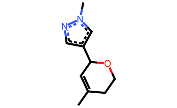 CC1=CC(c2cnn(C)c2)OCC1